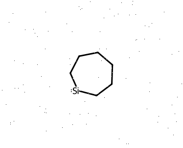 C1CCC[Si]CC1